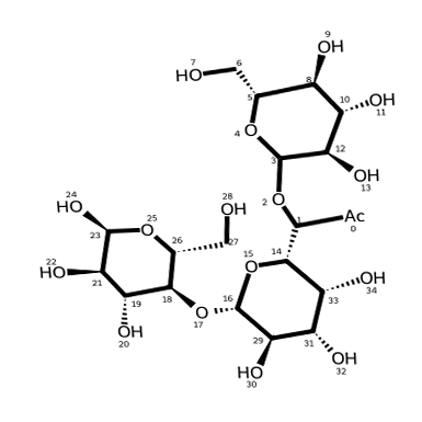 CC(=O)C(OC1O[C@H](CO)[C@@H](O)[C@H](O)[C@H]1O)[C@H]1O[C@@H](O[C@H]2[C@H](O)[C@@H](O)[C@@H](O)O[C@@H]2CO)[C@H](O)[C@@H](O)[C@H]1O